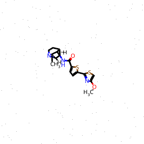 COc1csc(-c2ccc(C(=O)N[C@@H]3C4CCN(CC4)[C@H]3C)s2)n1